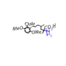 COc1ccc(OC)c(OC)c1CCCC(C)CC(C)(N)C(=O)O